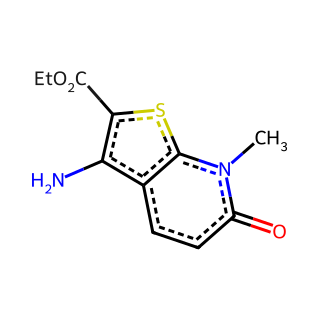 CCOC(=O)c1sc2c(ccc(=O)n2C)c1N